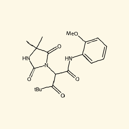 COc1ccccc1NC(=O)C(C(=O)C(C)(C)C)N1C(=O)NC(C)(C)C1=O